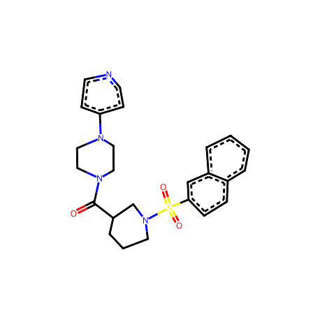 O=C(C1CCCN(S(=O)(=O)c2ccc3ccccc3c2)C1)N1CCN(c2ccncc2)CC1